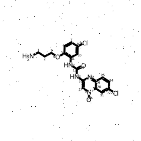 NCCCOc1ccc(Cl)cc1NC(=O)Nc1c[n+]([O-])c2cc(Cl)ccc2n1